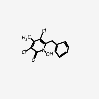 Cc1c(Cl)c(Cc2ccccc2)n(O)c(=O)c1Cl